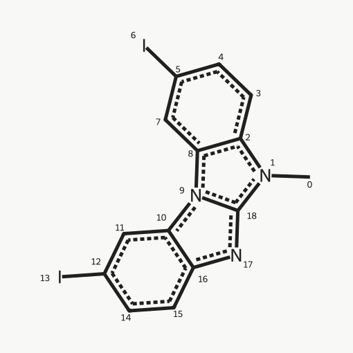 Cn1c2ccc(I)cc2n2c3cc(I)ccc3nc12